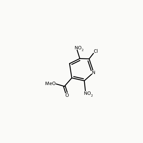 COC(=O)c1cc([N+](=O)[O-])c(Cl)nc1[N+](=O)[O-]